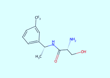 C[C@@H](NC(=O)[C@H](N)CO)c1cccc(C(F)(F)F)c1